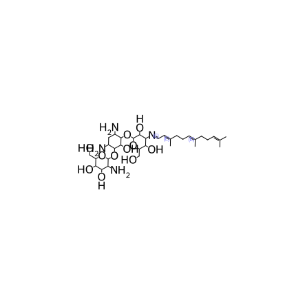 CC(C)=CCC/C(C)=C/CC/C(C)=C/C=N/C1C(O)C(CO)OC(OC2C(N)CC(N)C(OC3OC(CO)C(O)C(O)C3N)C2O)C1O